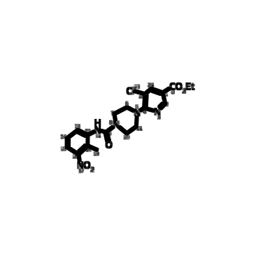 CCOC(=O)c1cnc(N2CCN(C(=O)Nc3cccc([N+](=O)[O-])c3C)CC2)c(Cl)c1